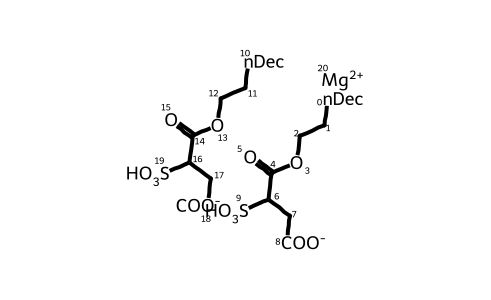 CCCCCCCCCCCCOC(=O)C(CC(=O)[O-])S(=O)(=O)O.CCCCCCCCCCCCOC(=O)C(CC(=O)[O-])S(=O)(=O)O.[Mg+2]